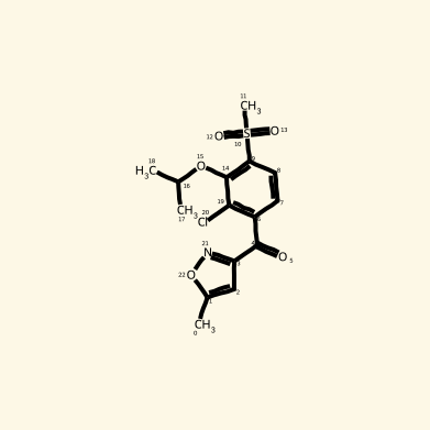 Cc1cc(C(=O)c2ccc(S(C)(=O)=O)c(OC(C)C)c2Cl)no1